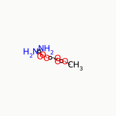 CCCCOc1ccc(OC(=O)C=Cc2ccc(OCCOC(=O)c3cc(N)cc(N)c3)cc2)cc1